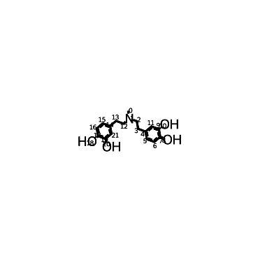 CN(CCc1ccc(O)c(O)c1)CCc1ccc(O)c(O)c1